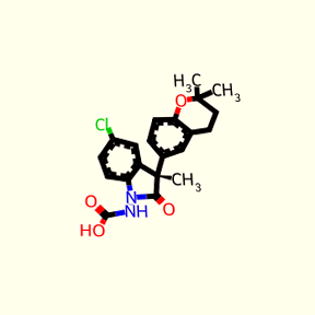 CC1(C)CCc2cc([C@]3(C)C(=O)N(NC(=O)O)c4ccc(Cl)cc43)ccc2O1